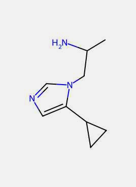 CC(N)Cn1cncc1C1CC1